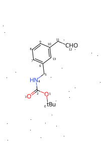 CC(C)(C)OC(=O)NCc1cccc(CC=O)c1